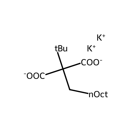 CCCCCCCCCC(C(=O)[O-])(C(=O)[O-])C(C)(C)C.[K+].[K+]